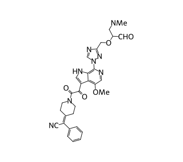 CNCC(C=O)OCc1ncn(-c2ncc(OC)c3c(C(=O)C(=O)N4CCC(=C(C#N)c5ccccc5)CC4)c[nH]c23)n1